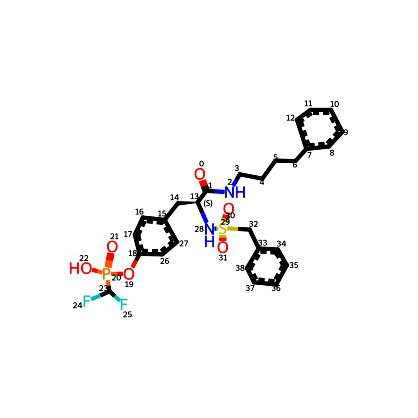 O=C(NCCCCc1ccccc1)[C@H](Cc1ccc(OP(=O)(O)C(F)F)cc1)NS(=O)(=O)Cc1ccccc1